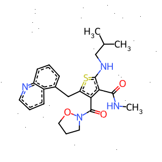 CNC(=O)c1c(NCC(C)C)sc(Cc2cccc3ncccc23)c1C(=O)N1CCCO1